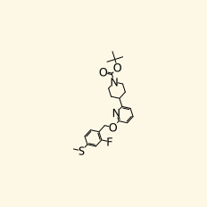 CSc1ccc(COc2cccc(C3CCN(C(=O)OC(C)(C)C)CC3)n2)c(F)c1